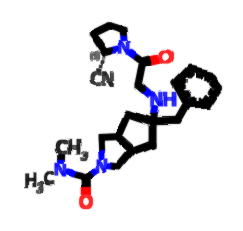 CN(C)C(=O)N1CC2CC(Cc3ccccc3)(NCC(=O)N3CCC[C@H]3C#N)CC2C1